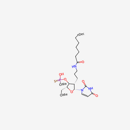 CCCCCCCCCCCCCCCC(=O)NCCC[C@H]1C(OP(O)(=S)OC)[C@@H](COC)O[C@H]1n1ccc(=O)[nH]c1=O